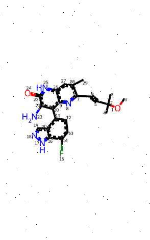 COC(C)(C)C#Cc1nc2c(-c3ccc(F)c4[nH]ncc34)c(N)c(=O)[nH]c2cc1C